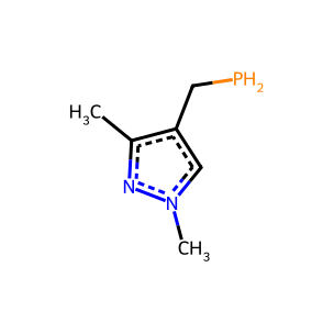 Cc1nn(C)cc1CP